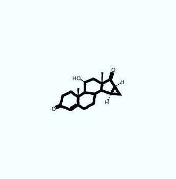 C[C@]12CCC(=O)C=C1CCC1C2[C@H](O)C[C@]2(C)C(=O)[C@H]3C[C@H]3C12